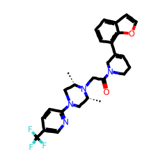 C[C@@H]1CN(c2ccc(C(F)(F)F)cn2)C[C@H](C)N1CC(=O)N1CCC=C(c2cccc3ccoc23)C1